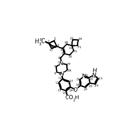 CC12CC(C3=C(CN4CCN(c5ccc(C(=O)O)c(Oc6cnc7[nH]ccc7c6)c5)CC4)CCC4(CCC4)C3)(C1)C2